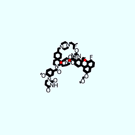 C#Cc1c(F)ccc2cc(OCOC)cc(-c3ccc4c(N5CC6CCC(C5)N6C(=O)O)nc(OC[C@H](C)CN5CCN(CC6CCC7(CC6)CCN(C(=O)c6ccc(OC)c(N8CCC(=O)NC8=O)c6)CC7)CC5)nc4c3F)c12